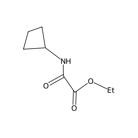 CCOC(=O)C(=O)NC1CCC1